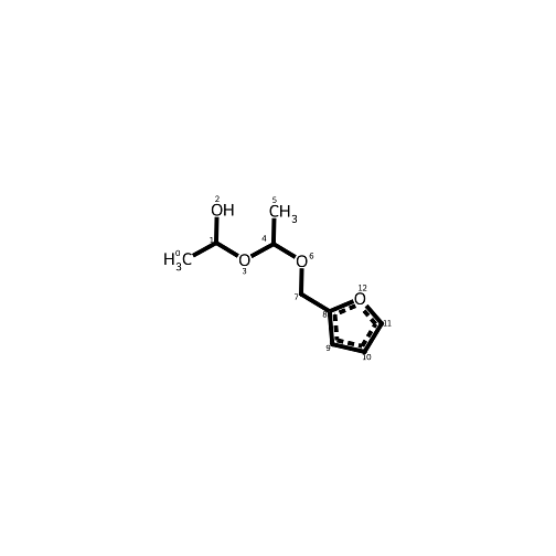 CC(O)OC(C)OCc1ccco1